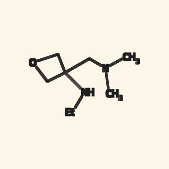 CCNC1(CN(C)C)COC1